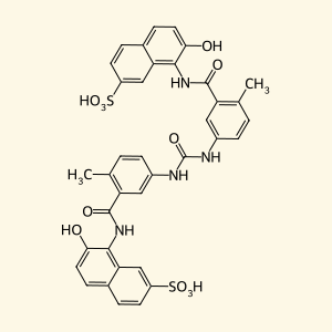 Cc1ccc(NC(=O)Nc2ccc(C)c(C(=O)Nc3c(O)ccc4ccc(S(=O)(=O)O)cc34)c2)cc1C(=O)Nc1c(O)ccc2ccc(S(=O)(=O)O)cc12